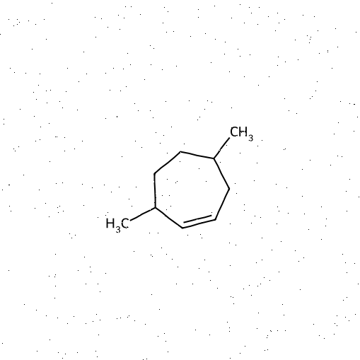 CC1C=CCC(C)CC1